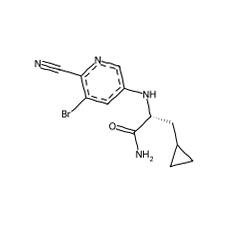 N#Cc1ncc(N[C@H](CC2CC2)C(N)=O)cc1Br